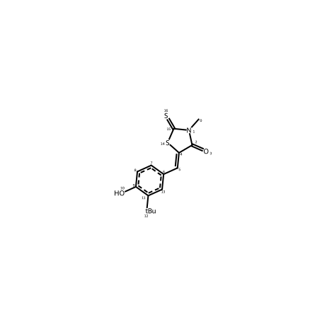 CN1C(=O)/C(=C/c2ccc(O)c(C(C)(C)C)c2)SC1=S